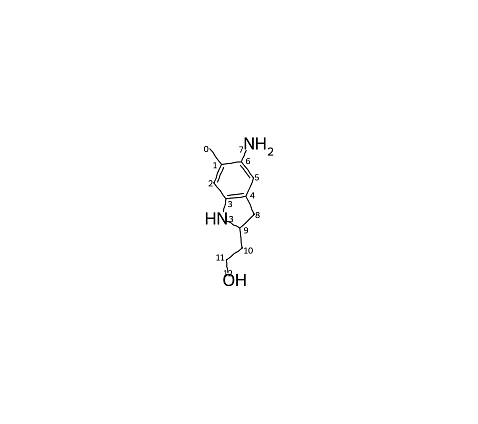 Cc1cc2c(cc1N)CC(CCO)N2